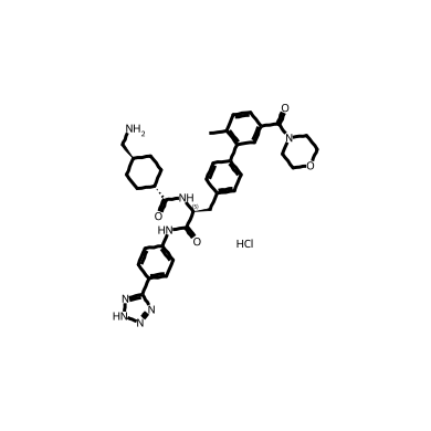 Cc1ccc(C(=O)N2CCOCC2)cc1-c1ccc(C[C@H](NC(=O)[C@H]2CC[C@H](CN)CC2)C(=O)Nc2ccc(-c3nn[nH]n3)cc2)cc1.Cl